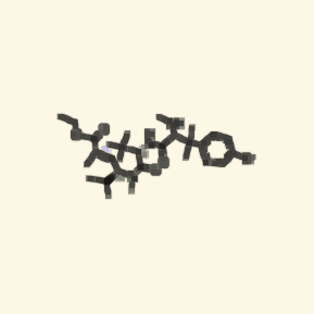 CCOC(=O)/C(C)=C/[C@H](C(C)C)N(C)C(=O)[C@@H](NC(=O)C(NC)C(C)(C)c1ccc(Br)cc1)C(C)(C)C